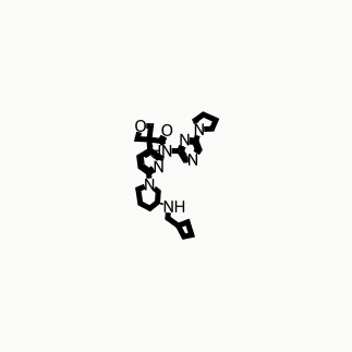 O=C(Nc1cncc(N2CCCC2)n1)C1(c2ccc(N3CCC[C@@H](NCC4CCC4)C3)nc2)COC1